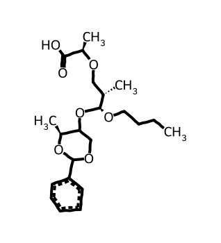 CCCCO[C@H](OC1COC(c2ccccc2)O[C@H]1C)[C@@H](C)CO[C@H](C)C(=O)O